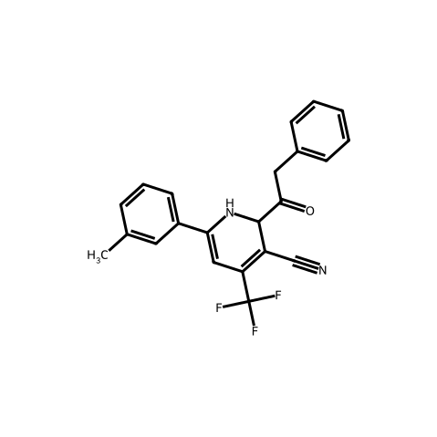 Cc1cccc(C2=CC(C(F)(F)F)=C(C#N)C(C(=O)Cc3ccccc3)N2)c1